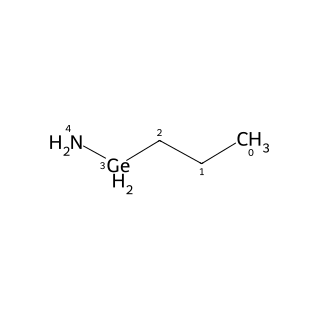 CC[CH2][GeH2][NH2]